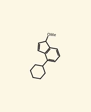 COC1C=Cc2c(C3CCCCC3)cccc21